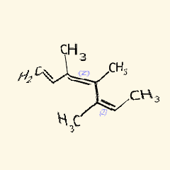 C=C/C(C)=C(C)\C(C)=C/C